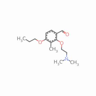 CCCOc1ccc(C=O)c(OCCN(C)C)c1C